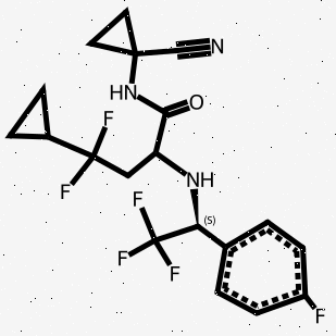 N#CC1(NC(=O)C(CC(F)(F)C2CC2)N[C@@H](c2ccc(F)cc2)C(F)(F)F)CC1